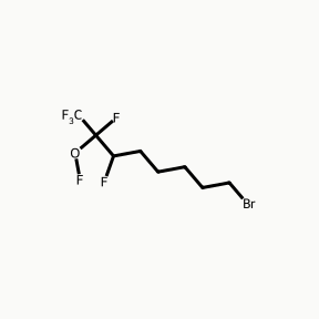 FOC(F)(C(F)CCCCCBr)C(F)(F)F